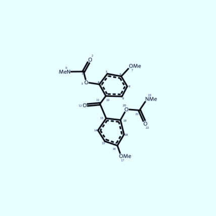 CNC(=O)Oc1cc(OC)ccc1C(=O)c1ccc(OC)cc1OC(=O)NC